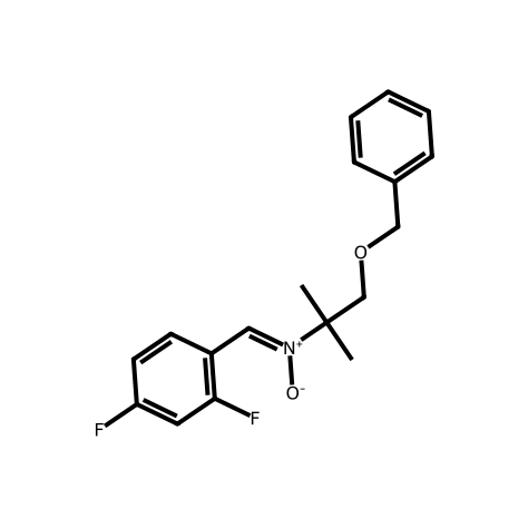 CC(C)(COCc1ccccc1)[N+]([O-])=Cc1ccc(F)cc1F